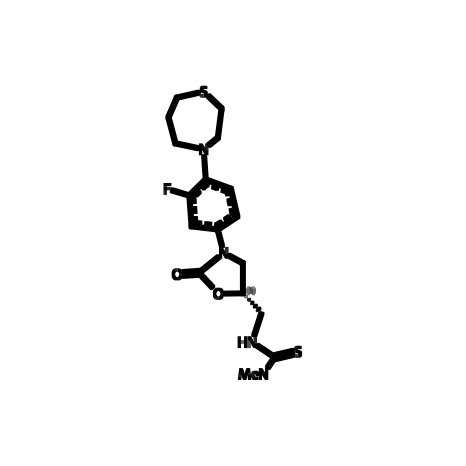 CNC(=S)NC[C@H]1CN(c2ccc(N3CCCSCC3)c(F)c2)C(=O)O1